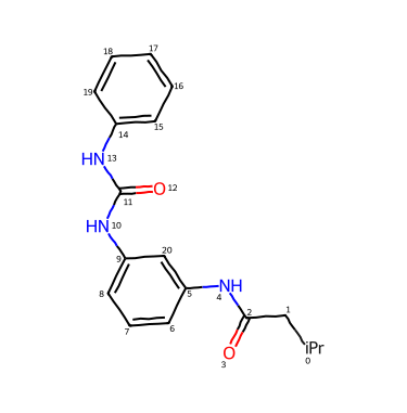 CC(C)CC(=O)Nc1cccc(NC(=O)Nc2ccccc2)c1